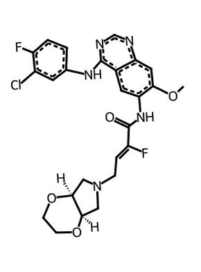 COc1cc2ncnc(Nc3ccc(F)c(Cl)c3)c2cc1NC(=O)C(F)=CCN1C[C@@H]2OCCO[C@@H]2C1